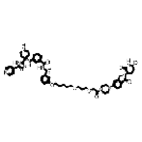 C[C@H](NC(=O)c1cccc(NC2(c3nnc(-c4ccncc4)[nH]3)CCNCC2)c1)c1cccc(OCCCCCOCCCOCC(=O)N2CCN(c3ccc4c(c3)CN(C3CCC(=O)NC3=O)C4=O)CC2)c1